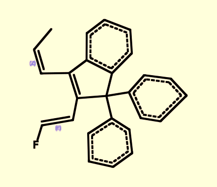 C/C=C\C1=C(/C=C/F)C(c2ccccc2)(c2ccccc2)c2ccccc21